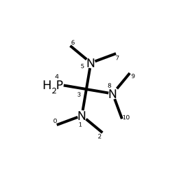 CN(C)C(P)(N(C)C)N(C)C